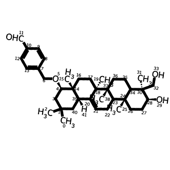 CC1(C)C[C@@H](OCc2ccc(C=O)cc2)[C@]2(C)CC[C@]3(C)C(=CCC4[C@@]5(C)CC[C@H](O)[C@](C)(CO)C5CC[C@]43C)[C@@H]2C1